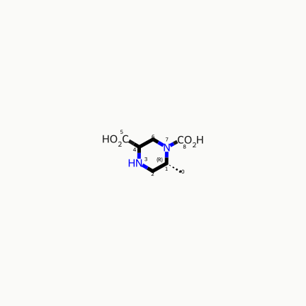 C[C@@H]1CNC(C(=O)O)CN1C(=O)O